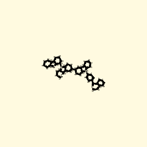 c1ccc2c(-c3ccc(-n4c5ccccc5c5cc(-c6ccc7c(c6)c6ccccc6n7-c6cccc7c6sc6ccccc67)ccc54)cc3)cccc2c1